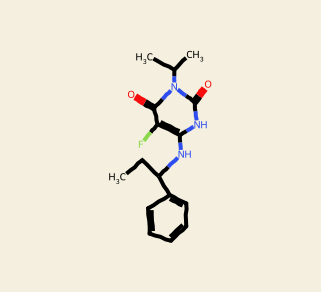 CCC(Nc1[nH]c(=O)n(C(C)C)c(=O)c1F)c1ccccc1